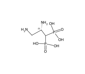 NC[C@H](N)C(P(=O)(O)O)P(=O)(O)O